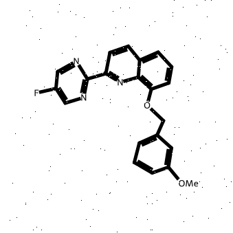 COc1cccc(COc2cccc3ccc(-c4ncc(F)cn4)nc23)c1